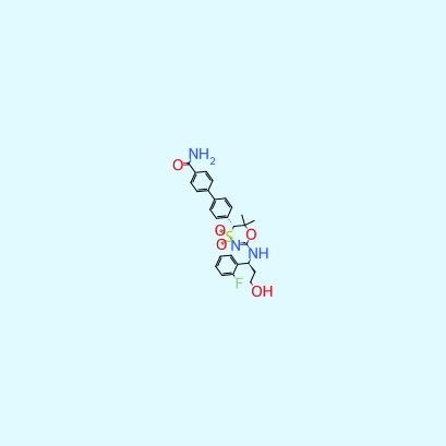 CC1(C)OC(N[C@@H](CCO)c2ccccc2F)=NS(=O)(=O)[C@@H]1c1ccc(-c2ccc(C(N)=O)cc2)cc1